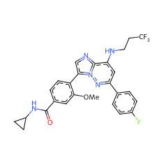 COc1cc(C(=O)NC2CC2)ccc1-c1cnc2c(NCCC(F)(F)F)cc(-c3ccc(F)cc3)nn12